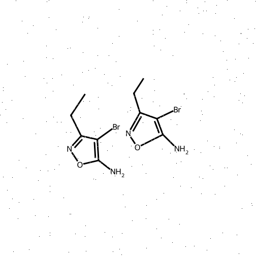 CCc1noc(N)c1Br.CCc1noc(N)c1Br